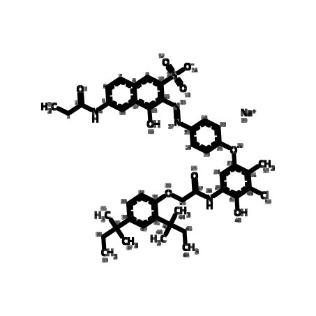 CCC(=O)Nc1ccc2cc(S(=O)(=O)[O-])c(N=Nc3ccc(Oc4cc(NC(=O)COc5ccc(C(C)(C)CC)cc5C(C)(C)CC)c(O)c(Cl)c4C)cc3)c(O)c2c1.[Na+]